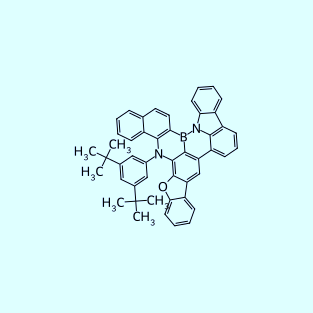 CC(C)(C)c1cc(N2c3c(ccc4ccccc34)B3c4c(cc5c(oc6ccccc65)c42)-c2cccc4c5ccccc5n3c24)cc(C(C)(C)C)c1